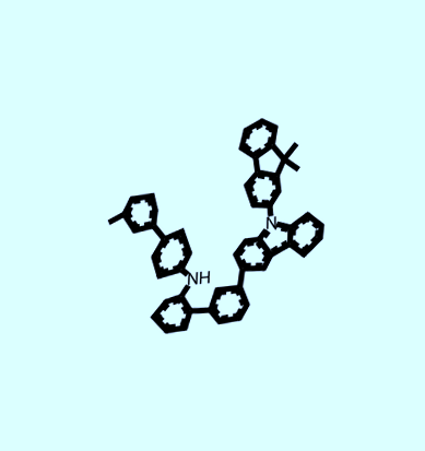 Cc1cccc(-c2ccc(Nc3ccccc3-c3cccc(-c4ccc5c(c4)c4ccccc4n5-c4ccc5c(c4)C(C)(C)c4ccccc4-5)c3)cc2)c1